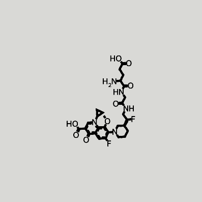 COc1c(N2CCC/C(=C(\F)CNC(=O)CNC(=O)C(N)CCC(=O)O)C2)c(F)cc2c(=O)c(C(=O)O)cn(C3CC3)c12